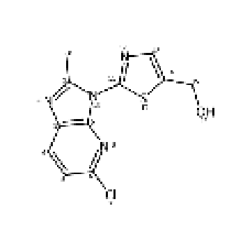 Cc1nc2ccc(Cl)nc2n1-c1ncc(CO)s1